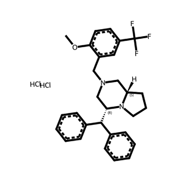 COc1ccc(C(F)(F)F)cc1CN1C[C@@H]2CCCN2[C@H](C(c2ccccc2)c2ccccc2)C1.Cl.Cl